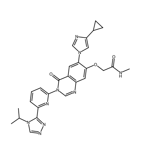 CNC(=O)COc1cc2ncn(-c3cccc(-c4nncn4C(C)C)n3)c(=O)c2cc1-n1cnc(C2CC2)c1